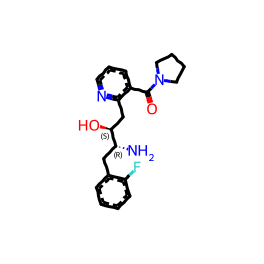 N[C@H](Cc1ccccc1F)[C@@H](O)Cc1ncccc1C(=O)N1CCCC1